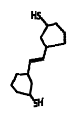 SC1CCCC(/C=C/C2CCCC(S)C2)C1